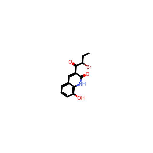 CCC(Br)C(=O)c1cc2cccc(O)c2[nH]c1=O